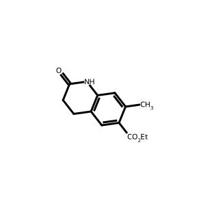 CCOC(=O)c1cc2c(cc1C)NC(=O)CC2